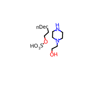 CCCCCCCCCCCCOS(=O)(=O)O.OCCN1CCNCC1